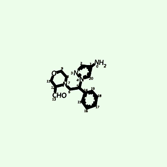 Nc1cnn(C(CN2CCOCC2C=O)c2ccccc2)c1